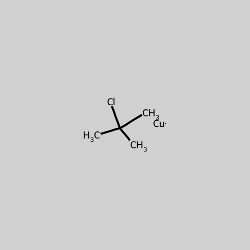 CC(C)(C)Cl.[Cu]